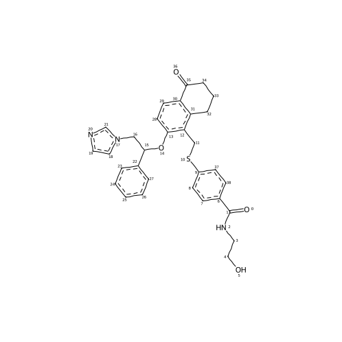 O=C(NCCO)c1ccc(SCc2c(OC(Cn3ccnc3)c3ccccc3)ccc3c2CCCC3=O)cc1